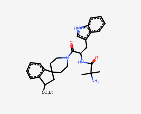 CCOC(=O)C1CC2(CCN(C(=O)[C@@H](Cc3c[nH]c4ccccc34)NC(=O)C(C)(C)N)CC2)c2ccccc21